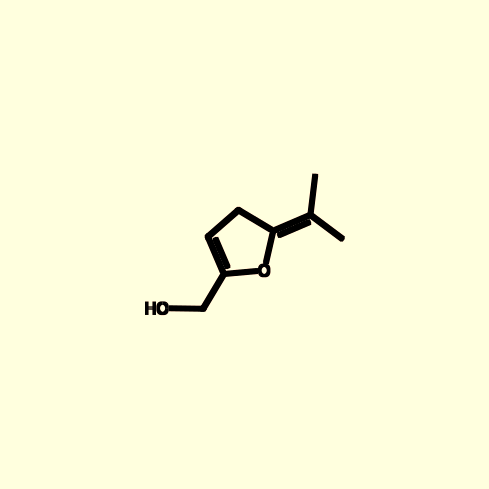 CC(C)=C1CC=C(CO)O1